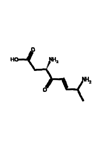 CC(N)/C=C/C(=O)[C@@H](N)CC(=O)O